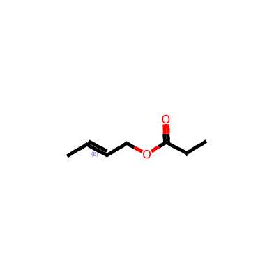 C[CH]C(=O)OC/C=C/C